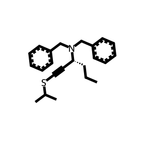 CCC[C@H](C#CSC(C)C)N(Cc1ccccc1)Cc1ccccc1